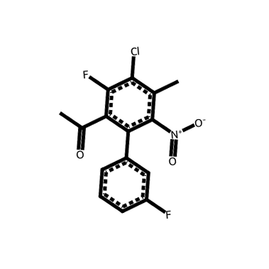 CC(=O)c1c(F)c(Cl)c(C)c([N+](=O)[O-])c1-c1cccc(F)c1